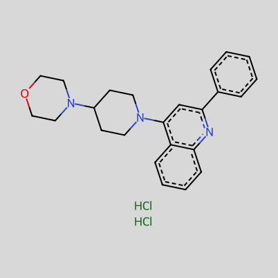 Cl.Cl.c1ccc(-c2cc(N3CCC(N4CCOCC4)CC3)c3ccccc3n2)cc1